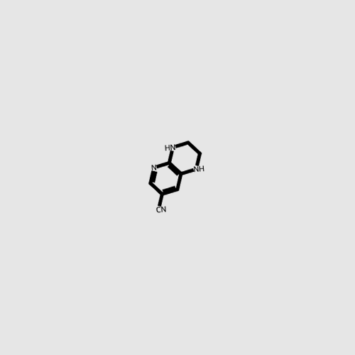 N#Cc1cnc2c(c1)NCCN2